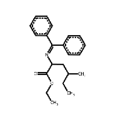 CCOC(=O)C(CC(C)CC)N=C(c1ccccc1)c1ccccc1